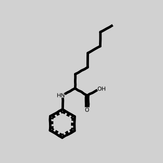 CCCCCCC(Nc1ccccc1)C(=O)O